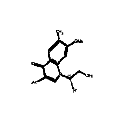 COc1cc2c(cc1C)c(=O)c(C(C)=O)cn2[C@H](CO)C(C)C